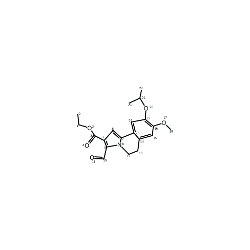 CCOC(=O)c1cc2n(c1C=O)CCc1cc(OC)c(OC(C)C)cc1-2